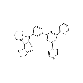 c1cc(-c2cc(-c3ccncc3)cc(-c3ccncc3)n2)cc(-n2c3ccccc3c3c4occc4ccc32)c1